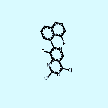 Fc1c(-c2cccc3cccc(F)c23)ncc2c(Cl)nc(Cl)nc12